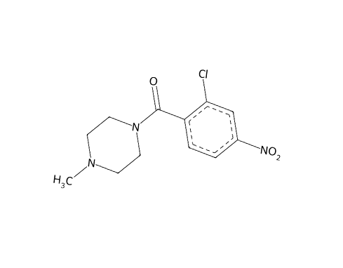 CN1CCN(C(=O)c2ccc([N+](=O)[O-])cc2Cl)CC1